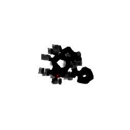 CC(=O)O[C@@]12COC1C[C@H](O)[C@@]1(C)[C@H](O)[C@H](O)C3=C(C)[C@@H](O)C[C@@](O)([C@@H](OC(=O)c4ccccc4)[C@@H]12)C3(C)C